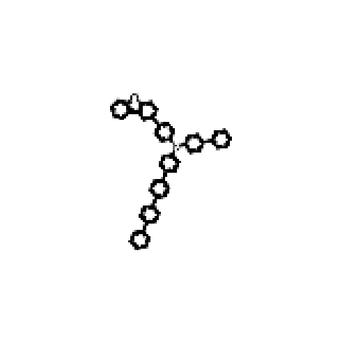 c1ccc(-c2ccc(-c3ccc(-c4ccc(N(c5ccc(-c6ccccc6)cc5)c5ccc(-c6ccc7oc8ccccc8c7c6)cc5)cc4)cc3)cc2)cc1